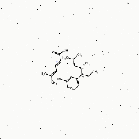 CC(C)=C/C=C/C(=O)O.CC[C@@H](c1cccc(O)c1)[C@@H](C)CN(C)C